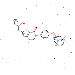 CCC(O)Cc1cc2ncn(-c3ccc(OC4C[C@H]5CC[C@@H](C4)N5C)cc3)c(=O)c2s1